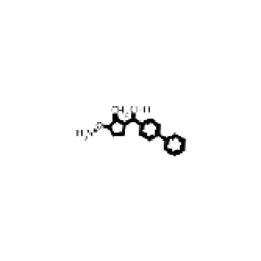 C=C1C(O[SiH3])CCC1C(C=O)c1ccc(-c2ccccc2)cc1